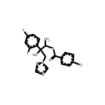 CC(SC(=O)c1ccc(Cl)cc1)C(O)(Cn1cncn1)c1ccc(F)cc1F